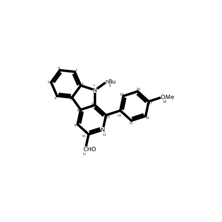 CCCCn1c2ccccc2c2cc(C=O)nc(-c3ccc(OC)cc3)c21